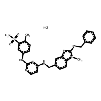 Cc1ccc(Nc2nccc(NCc3ccc4c(c3)nc(NCc3ccccc3)n4C)n2)cc1S(N)(=O)=O.Cl